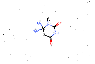 CN1C(=O)NC(=O)CC1(N)N